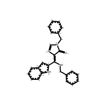 O=C1/C(=C(\NCc2ccccc2)c2cc3ccccc3[nH]2)N=CN1Cc1ccccc1